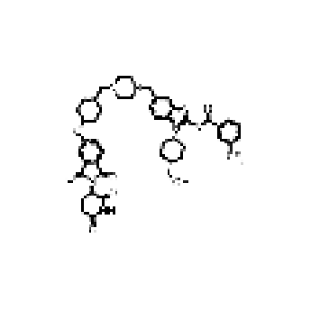 O=C1CCC(N2C(=O)c3ccc(OC4CCC(CN5CCN(Cc6ccc7c(c6)nc(NC(=O)c6cccc(C(F)(F)F)c6)n7[C@H]6CC[C@@H](CO)CC6)CC5)CC4)cc3C2=O)C(=O)N1